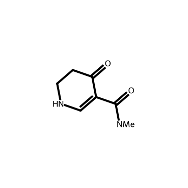 CNC(=O)C1=CNCCC1=O